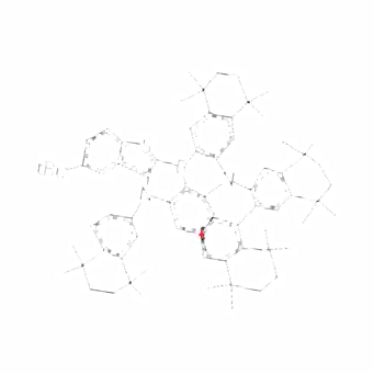 Cc1cc2c3c(c1)N(c1ccc4c(c1)C(C)(C)CCC4(C)C)c1c(sc4ccc(C(C)(C)C)cc14)B3c1cc3c(cc1N2c1cc2c(cc1-c1cccc4c1C(C)(C)CCC4(C)C)C(C)(C)CCC2(C)C)C(C)(C)CCC3(C)C